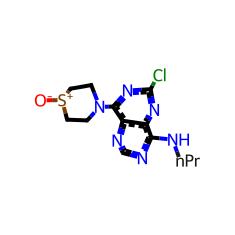 CCCNc1ncnc2c(N3CC[S+]([O-])CC3)nc(Cl)nc12